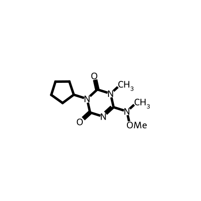 CON(C)c1nc(=O)n(C2CCCC2)c(=O)n1C